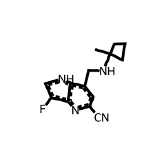 CC1(NCc2cc(C#N)nc3c(F)c[nH]c23)CCC1